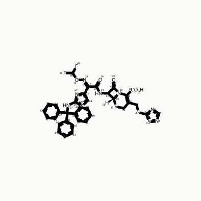 O=C(O)C1=C(CSc2ncns2)CS[C@@H]2C(NC(=O)/C(=N/OC(F)F)c3csc(NC(c4ccccc4)(c4ccccc4)c4ccccc4)n3)C(=O)N12